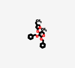 CCC1=C[C@@H](O[C@@H]2[C@@H](OCc3ccccc3)[C@@H](OCc3ccccc3)OC[C@H]2C)OC1